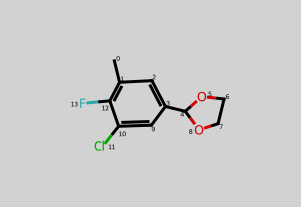 Cc1cc(C2OCCO2)cc(Cl)c1F